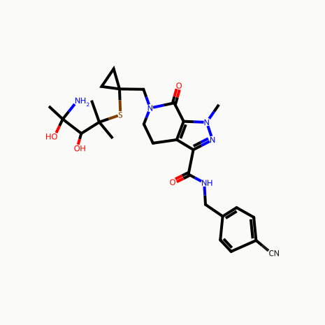 Cn1nc(C(=O)NCc2ccc(C#N)cc2)c2c1C(=O)N(CC1(SC(C)(C)C(O)C(C)(N)O)CC1)CC2